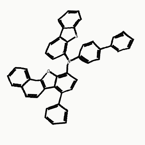 c1ccc(-c2ccc(N(c3ccc(-c4ccccc4)c4c3oc3c5ccccc5ccc34)c3cccc4c3sc3ccccc34)cc2)cc1